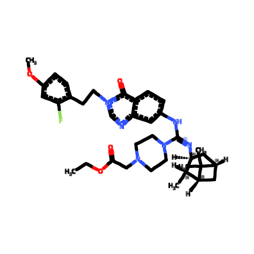 CCOC(=O)CN1CCN(/C(=N\[C@H]2C[C@@H]3C[C@H]([C@@H]2C)C3(C)C)Nc2ccc3c(=O)n(CCc4ccc(OC)cc4F)cnc3c2)CC1